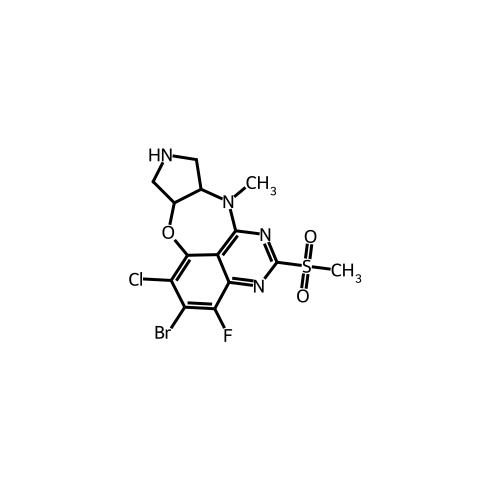 CN1c2nc(S(C)(=O)=O)nc3c(F)c(Br)c(Cl)c(c23)OC2CNCC21